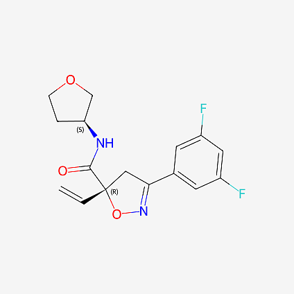 C=C[C@@]1(C(=O)N[C@H]2CCOC2)CC(c2cc(F)cc(F)c2)=NO1